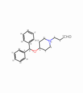 O=CCCN1CCC(OC(c2ccccc2)c2ccccc2)CC1